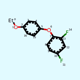 CCOc1ccc(Oc2ccc(F)cc2F)cc1